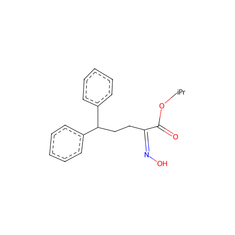 CC(C)OC(=O)C(CCC(c1ccccc1)c1ccccc1)=NO